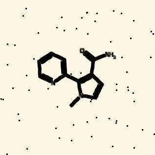 Cn1ccc(C(N)=O)c1-c1ccccn1